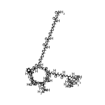 C/C(=N/O)C(C)(C)NCCC(CCNC(=O)CCCC(=O)NCCCC[C@@H]1NC(=O)CSC[C@@H](C(=O)NCCOCCOCCOCCNC(=O)COCC(=O)NCCOCCOCCOCCNC(=O)COCC(N)=O)NC(=O)[C@H](Cc2ccccc2)NC(=O)[C@H](CS)NC(=O)[C@H](CC(=O)O)NC(=O)CNC(=O)[C@H](CCCNC(=N)N)NC(=O)[C@H](CS)NC1=O)CCNC(C)(C)/C(C)=N\O